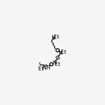 C\C=C/C=C(/C=C/c1ccc(N(CC)CCSSCCN(CC)c2ccc(/C=C/C=C/C=C\C=N\CC)cc2)cc1)NCC